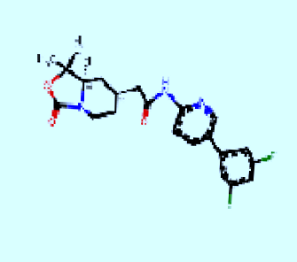 CC1(C)OC(=O)N2CC[C@H](CC(=O)Nc3ccc(-c4cc(F)cc(F)c4)cn3)C[C@@H]21